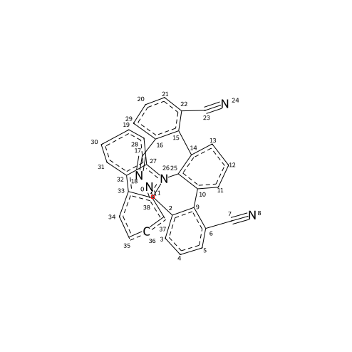 N#Cc1cccc(C#N)c1-c1cccc(-c2c(C#N)cccc2C#N)c1-n1c2ccccc2c2ccccc21